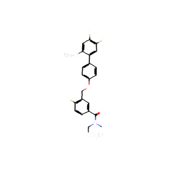 CCOC(=O)CN(C)C(=O)c1ccc(F)c(COc2ccc(-c3cc(F)c(F)cc3OC)cc2)c1